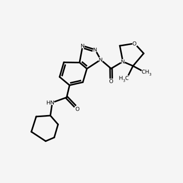 CC1(C)COCN1C(=O)n1nnc2ccc(C(=O)NC3CCCCC3)cc21